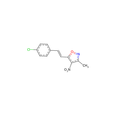 Cc1noc(C=Cc2ccc(Cl)cc2)c1[N+](=O)[O-]